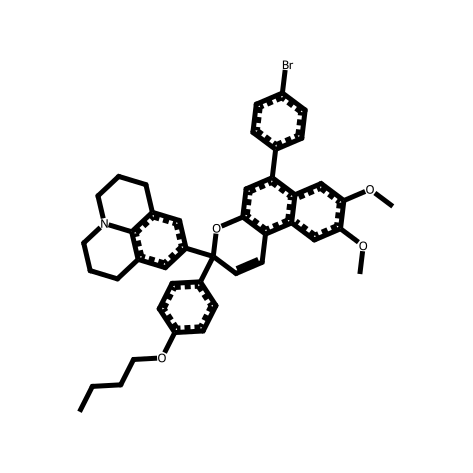 CCCCOc1ccc(C2(c3cc4c5c(c3)CCCN5CCC4)C=Cc3c(cc(-c4ccc(Br)cc4)c4cc(OC)c(OC)cc34)O2)cc1